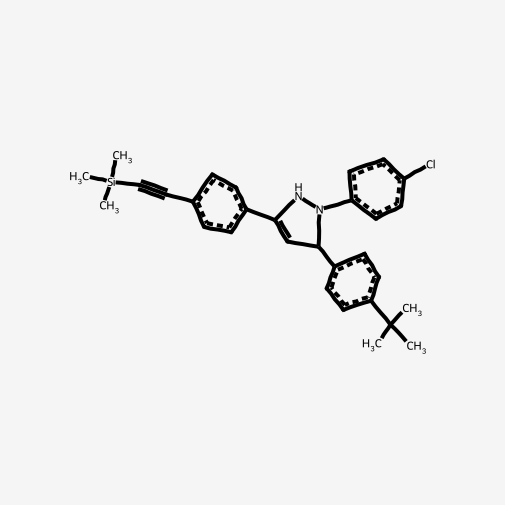 CC(C)(C)c1ccc(C2C=C(c3ccc(C#C[Si](C)(C)C)cc3)NN2c2ccc(Cl)cc2)cc1